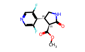 COC(=O)[C@@H]1C(=O)NC[C@H]1c1c(F)cncc1F